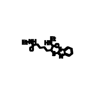 CCNC(=O)CCCCC(Sc1nc2ccccc2s1)C(=O)NCC